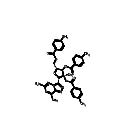 CSc1nc(N)nn2c([C@@H]3O[C@H](COC(=O)c4ccc(C)cc4)[C@@H](OC(=O)c4ccc(C)cc4)[C@@]3(C)OC(=O)c3ccc(C)cc3)nnc12